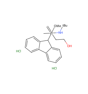 Cl.Cl.[CH2]=[Zr]([CH3])([CH2]CO)([NH]C(C)(C)C)([O]C)[CH]1c2ccccc2-c2ccccc21